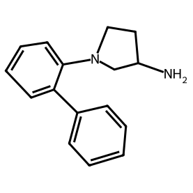 NC1CCN(c2ccccc2-c2ccccc2)C1